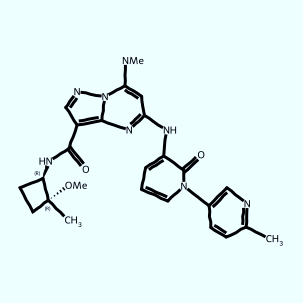 CNc1cc(Nc2cccn(-c3ccc(C)nc3)c2=O)nc2c(C(=O)N[C@@H]3CC[C@@]3(C)OC)cnn12